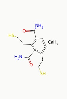 NC(=O)c1ccc(CCS)c(C(N)=O)c1CCS.[CaH2]